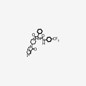 CN1C=C2C(=O)N(C3CCN(C(=O)C(NC(=O)Nc4ccc(C(F)(F)F)cc4)c4ccccc4)CC3)CN2C1